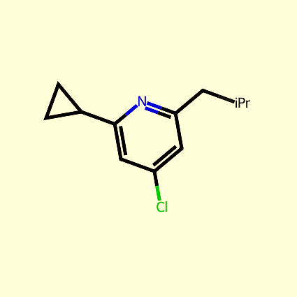 CC(C)Cc1cc(Cl)cc(C2CC2)n1